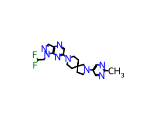 Cc1ncc(N2CCC3(CCN(c4cnc5cnn(CC(F)F)c5n4)CC3)C2)cn1